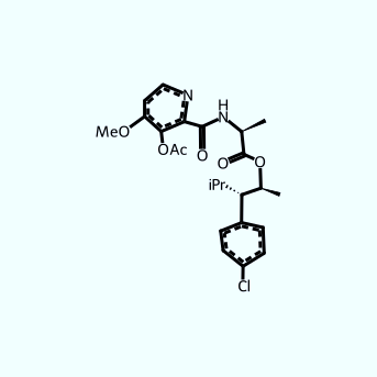 COc1ccnc(C(=O)N[C@@H](C)C(=O)O[C@@H](C)[C@H](c2ccc(Cl)cc2)C(C)C)c1OC(C)=O